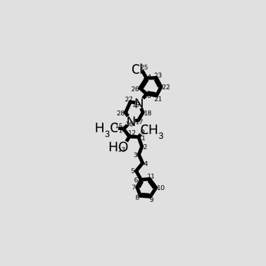 CC(CCCCc1ccccc1)C(O)C(C)N1CCN(c2cccc(Cl)c2)CC1